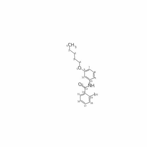 CCCCCOc1cccc(NC(=O)c2ccccc2I)c1